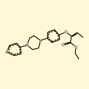 CC=C(Oc1ccc(N2CCN(c3ccncc3)CC2)cc1)C(=O)OCC